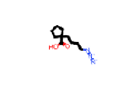 [N-]=[N+]=NCCCCC1(C(=O)O)CCCC1